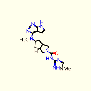 CN/C=N\C(=N)NC(=O)N1CC2CC(N(C)c3ncnc4[nH]ccc34)C[C@@H]2C1